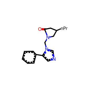 CCCC1CC(=O)N(Cn2cncc2-c2ccccc2)C1